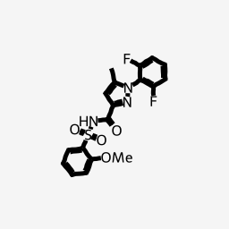 COc1ccccc1S(=O)(=O)NC(=O)c1cc(C)n(-c2c(F)cccc2F)n1